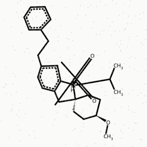 CO[C@H]1CC[C@]2(CC1)Cc1ccc(CCc3ccccc3)cc1C21NC(=O)N(C(C)C)C1=O